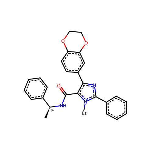 CCn1c(-c2ccccc2)nc(-c2ccc3c(c2)OCCO3)c1C(=O)N[C@@H](C)c1ccccc1